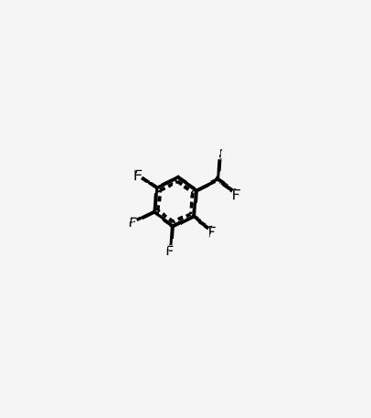 Fc1cc(C(F)I)c(F)c(F)c1F